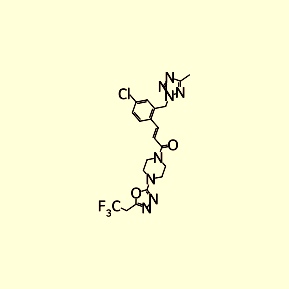 Cc1nnn(Cc2cc(Cl)ccc2/C=C/C(=O)N2CCN(c3nnc(CC(F)(F)F)o3)CC2)n1